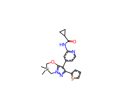 C[Si]1(C)COc2c(-c3ccnc(NC(=O)C4CC4)c3)c(-c3cccs3)nn2C1